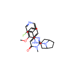 COc1ccccc1NC1CC2CCC(C1)N2c1nc(-c2ccncc2F)cc(=O)n1C